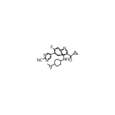 CN(C)C1CCC(Nc2c(C(=O)C3CC3)cnc3cc(F)c(-c4cnc(C#N)nc4)cc23)CC1